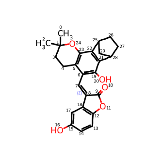 CC1(C)CCc2c(/C=C3\C(=O)Oc4ccc(O)cc43)c(O)c3c(c2O1)C1CCC3C1